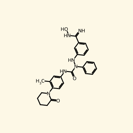 Cc1cc(NC(=O)N(Nc2cccc(C(=N)NO)c2)c2ccccc2)ccc1N1CCCCC1=O